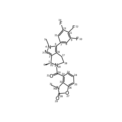 C[C@H]1c2nn(C)c(-c3cc(F)c(F)c(F)c3)c2CCN1C(=O)c1cccc2oc(=O)n(C)c12